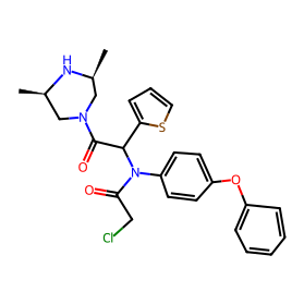 C[C@@H]1CN(C(=O)C(c2cccs2)N(C(=O)CCl)c2ccc(Oc3ccccc3)cc2)C[C@H](C)N1